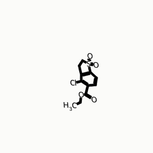 CCOC(=O)c1ccc2c(c1Cl)CCS2(=O)=O